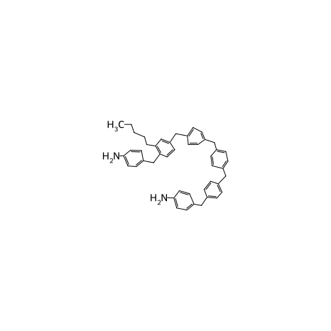 CCCCCc1cc(Cc2ccc(Cc3ccc(Cc4ccc(Cc5ccc(N)cc5)cc4)cc3)cc2)ccc1Cc1ccc(N)cc1